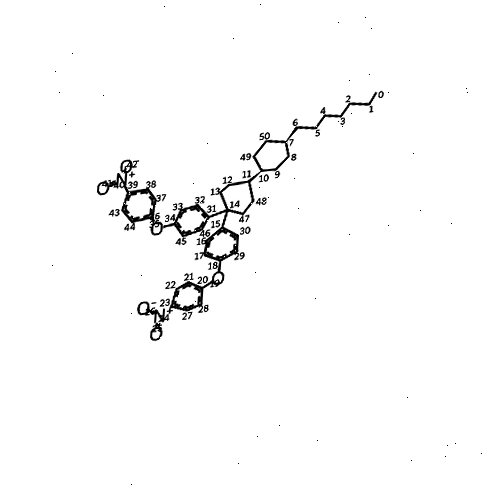 CCCCCCC[C@H]1CC[C@@H](C2CCC(c3ccc(Oc4ccc([N+](=O)[O-])cc4)cc3)(c3ccc(Oc4ccc([N+](=O)[O-])cc4)cc3)CC2)CC1